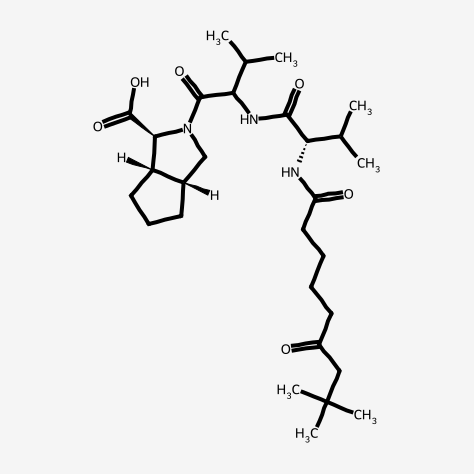 CC(C)C(NC(=O)[C@@H](NC(=O)CCCCC(=O)CC(C)(C)C)C(C)C)C(=O)N1C[C@@H]2CCC[C@@H]2[C@H]1C(=O)O